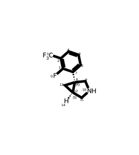 Fc1c(C(F)(F)F)cccc1[C@]12CNC[C@H]1C2